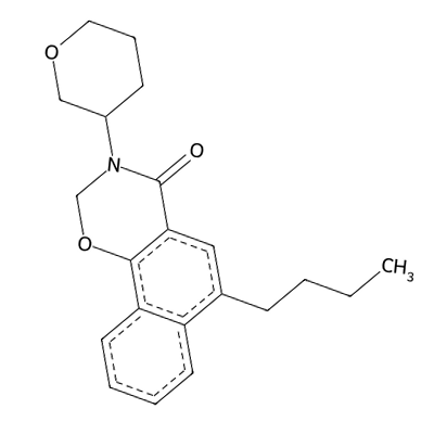 CCCCc1cc2c(c3ccccc13)OCN(C1CCCOC1)C2=O